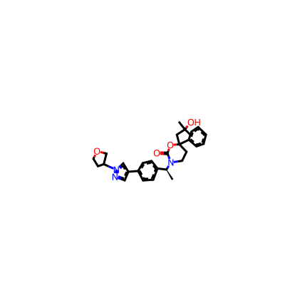 C[C@@H](c1ccc(-c2cnn(C3CCOC3)c2)cc1)N1CCC(CC(C)(C)O)(c2ccccc2)OC1=O